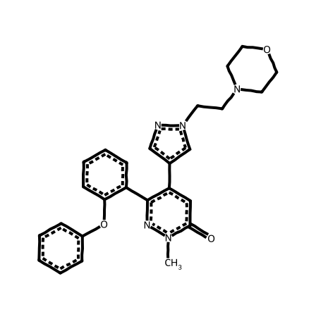 Cn1nc(-c2ccccc2Oc2ccccc2)c(-c2cnn(CCN3CCOCC3)c2)cc1=O